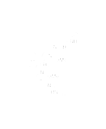 COc1nc(-c2cccc(-c3cccc(-c4cc5c(c(OC)n4)C(N4CC6(CCC(=O)N6)C4)CC5)c3C)c2F)cnc1CN1CC2(CCC(=O)N2)C1